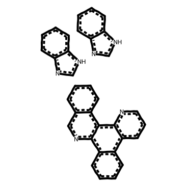 c1ccc2[nH]cnc2c1.c1ccc2[nH]cnc2c1.c1ccc2c(c1)cnc1c3ccccc3c3cccnc3c21